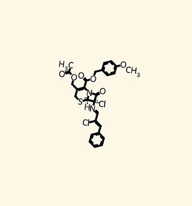 COc1ccc(COC(=O)C2=C(COC(C)=O)CS[C@H]3N2C(=O)[C@@]3(Cl)N=CC(Cl)=Cc2ccccc2)cc1